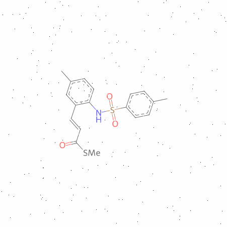 CSC(=O)/C=C/c1cc(C)ccc1NS(=O)(=O)c1ccc(C)cc1